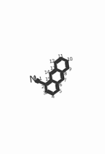 N#Cc1[c]ccc2cc3ccccc3cc12